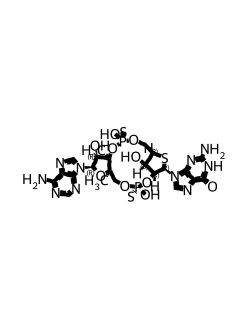 CC12OP(O)(=S)OC[C@H]3S[C@@H](n4cnc5c(=O)[nH]c(N)nc54)[C@H](OP(O)(=S)OC[C@@]1(C)O[C@@H](n1cnc4c(N)ncnc41)[C@@H]2O)[C@@H]3O